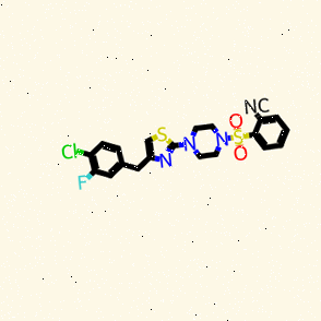 N#Cc1ccccc1S(=O)(=O)N1CCN(c2nc(Cc3ccc(Cl)c(F)c3)cs2)CC1